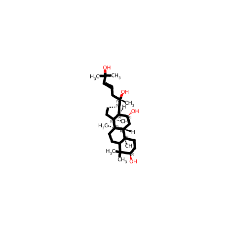 CC(C)(O)C=CC[C@](C)(O)[C@H]1CC[C@@]2(C)[C@@H]1[C@H](O)C[C@@H]1[C@@]3(C)CC[C@@H](O)C(C)(C)C3CC[C@]12C